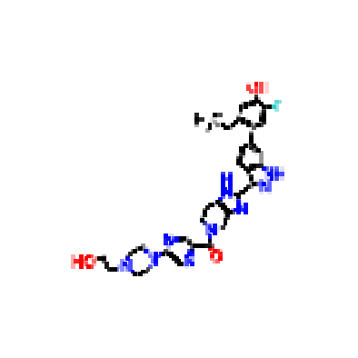 CCc1cc(O)c(F)cc1-c1ccc2c(-c3nc4c([nH]3)CCN(C(=O)c3cnc(N5CCN(CCO)CC5)cn3)C4)n[nH]c2c1